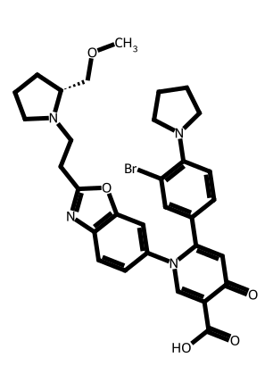 COC[C@H]1CCCN1CCc1nc2ccc(-n3cc(C(=O)O)c(=O)cc3-c3ccc(N4CCCC4)c(Br)c3)cc2o1